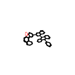 c1ccc(-c2c3ccccc3c(-c3cc(-c4ccc5oc6ccc7ccccc7c6c5c4)cc4ccccc34)c3ccccc23)cc1